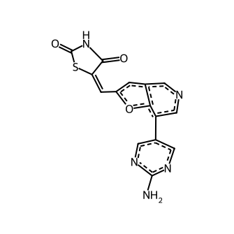 Nc1ncc(-c2cncc3cc(C=C4SC(=O)NC4=O)oc23)cn1